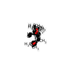 COc1ccc(CN(Cc2ccc(OC)cc2)c2cc(C)c(I)c(-c3nc4c5c(nc(OC[C@@H]6CC[C@H]7COCCN76)nc5c3F)N([C@H](C)c3cccnc3N(C(=O)OC(C)(C)C)C(=O)OC(C)(C)C)CCO4)c2F)cc1